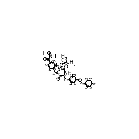 CC(C)(C)OC(=O)NC(Cc1ccc(OCc2ccccc2)cn1)C(=O)OCc1ccc(C(=O)NO)cc1